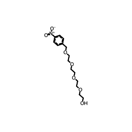 O=[N+]([O-])c1ccc(COCCOCCOCCOCCO)cc1